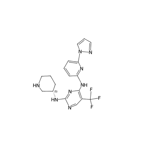 FC(F)(F)c1cnc(N[C@H]2CCCNC2)nc1Nc1cccc(-n2cccn2)n1